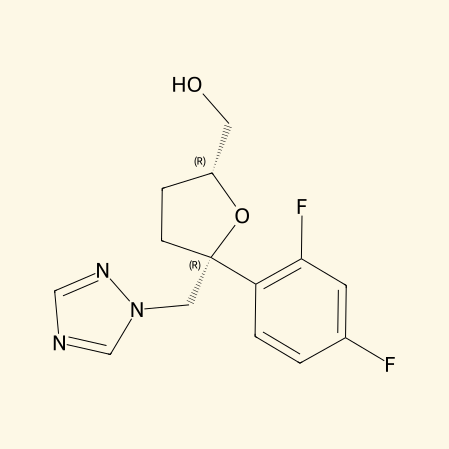 OC[C@H]1CC[C@](Cn2cncn2)(c2ccc(F)cc2F)O1